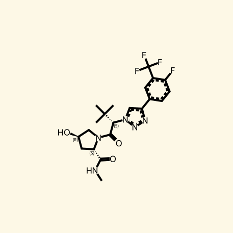 CNC(=O)[C@@H]1C[C@@H](O)CN1C(=O)[C@@H](n1cc(-c2ccc(F)c(C(F)(F)F)c2)nn1)C(C)(C)C